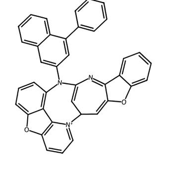 C1=C2N=c3c(oc4ccccc34)=CC1[n+]1cccc3oc4cccc(c4c31)N2c1cc(-c2ccccc2)c2ccccc2c1